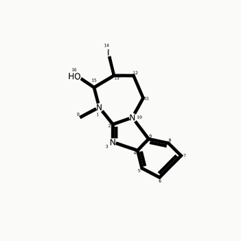 CN1c2nc3ccccc3n2CCC(I)C1O